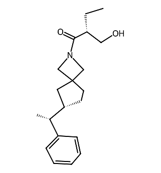 CC[C@H](CO)C(=O)N1CC2(CC[C@H]([C@@H](C)c3ccccc3)C2)C1